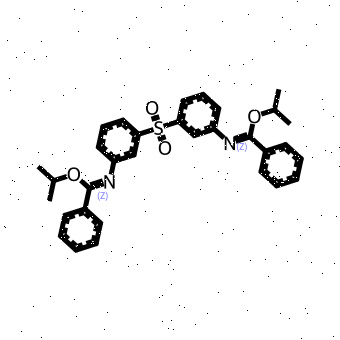 CC(C)O/C(=N\c1cccc(S(=O)(=O)c2cccc(/N=C(\OC(C)C)c3ccccc3)c2)c1)c1ccccc1